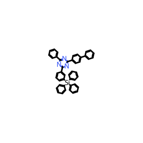 c1ccc(-c2ccc(-c3nc(-c4ccccc4)nc(-c4cccc([Si](c5ccccc5)(c5ccccc5)c5ccccc5)c4)n3)cc2)cc1